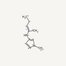 CC/C=C(\C)Nc1cnn(C)c1